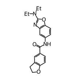 CCN(CC)c1nc2cc(NC(=O)c3ccc4c(c3)CCO4)ccc2o1